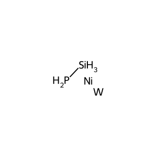 [Ni].[SiH3]P.[W]